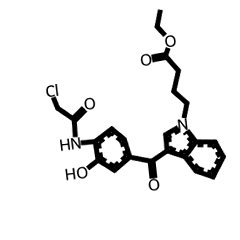 CCOC(=O)CCCn1cc(C(=O)c2ccc(NC(=O)CCl)c(O)c2)c2ccccc21